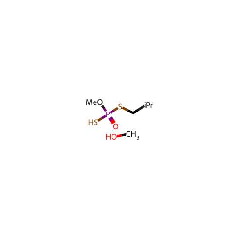 CO.COP(=O)(S)SCC(C)C